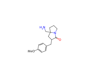 COc1ccc(CC2CC3(CN)CCCN3C2=O)cc1